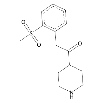 CS(=O)(=O)c1ccccc1CC(=O)C1CCNCC1